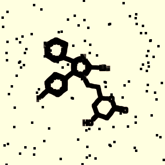 CC(C)(C)c1nc(-c2ccncc2)c(-c2ccc(F)cc2)n1CCC1CC(O)CC(=O)O1